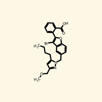 CCCCc1cc(COC)nn1Cc1ccc2oc(-c3ccccc3C(=O)O)c(Br)c2c1